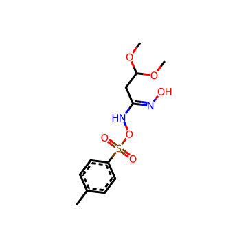 COC(CC(=NO)NOS(=O)(=O)c1ccc(C)cc1)OC